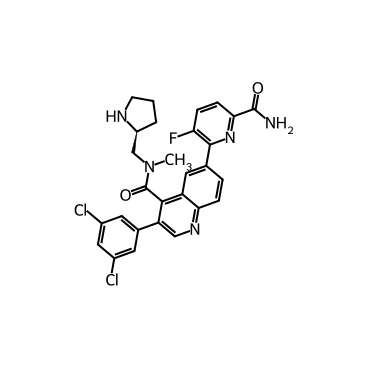 CN(C[C@@H]1CCCN1)C(=O)c1c(-c2cc(Cl)cc(Cl)c2)cnc2ccc(-c3nc(C(N)=O)ccc3F)cc12